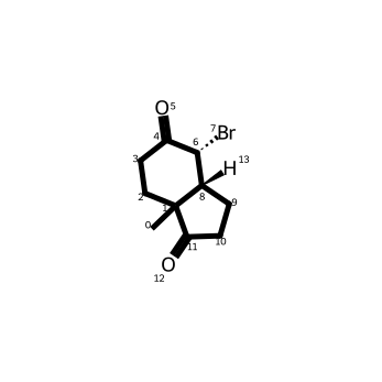 CC12CCC(=O)[C@H](Br)[C@@H]1CCC2=O